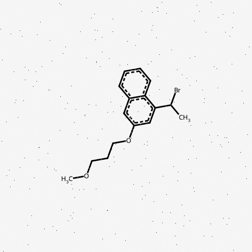 COCCCOc1cc(C(C)Br)c2ccccc2c1